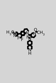 CC(=O)N1CCc2c(c(N3CCCc4cc(-c5cnn(C)c5)c(C(F)F)cc43)nn2C2CCC3(CCNCC3)CC2)C1